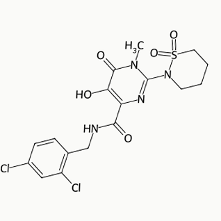 Cn1c(N2CCCCS2(=O)=O)nc(C(=O)NCc2ccc(Cl)cc2Cl)c(O)c1=O